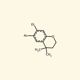 CCc1cc2c(cc1C(C)=O)C(C)(C)CCO2